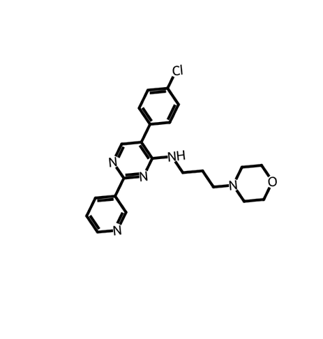 Clc1ccc(-c2cnc(-c3cccnc3)nc2NCCCN2CCOCC2)cc1